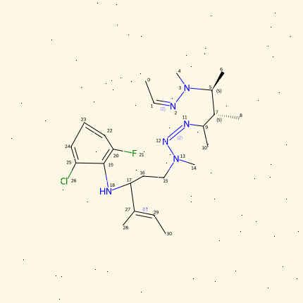 C/C=N\N(C)[C@@H](C)[C@H](C)C(C)/N=N\N(C)CCC(Nc1c(F)cccc1Cl)/C(C)=C/C